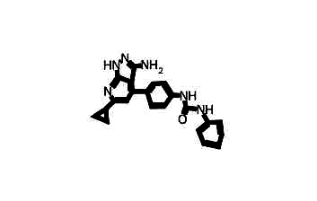 Nc1n[nH]c2nc(C3CC3)cc(-c3ccc(NC(=O)Nc4ccccc4)cc3)c12